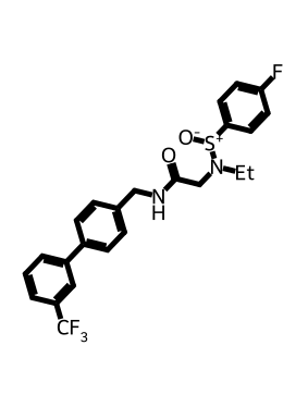 CCN(CC(=O)NCc1ccc(-c2cccc(C(F)(F)F)c2)cc1)[S+]([O-])c1ccc(F)cc1